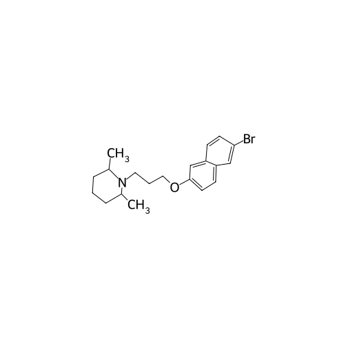 CC1CCCC(C)N1CCCOc1ccc2cc(Br)ccc2c1